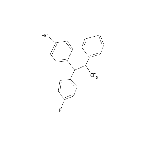 Oc1ccc(C(c2ccc(F)cc2)C(c2ccccc2)C(F)(F)F)cc1